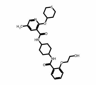 Cc1cnc(OC2CCSCC2)c(C(=O)NC2CCC(NC(=O)c3ccccc3OCCO)CC2)c1